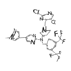 Cn1cc(-c2cnc(N(Cc3cc(C(F)(F)F)cc(C(F)(F)F)c3)[C@H]3CCN(c4nc(Cl)ncc4Cl)C3)nc2)cn1